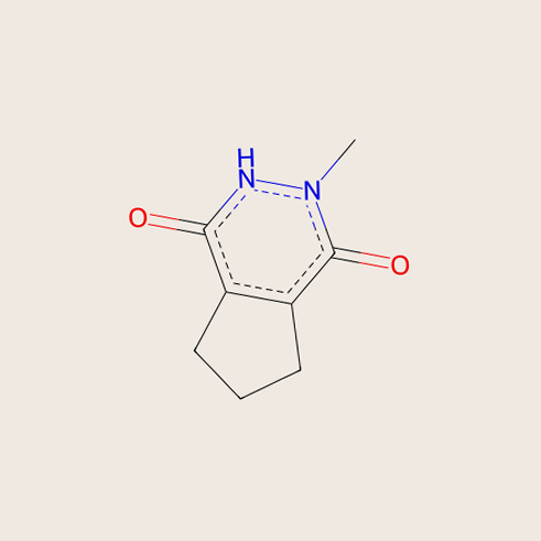 Cn1[nH]c(=O)c2c(c1=O)CCC2